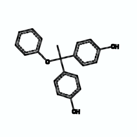 CC(Oc1ccccc1)(c1ccc(O)cc1)c1ccc(O)cc1